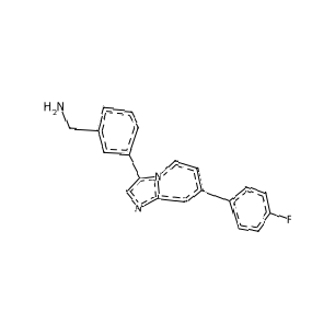 NCc1cccc(-c2cnc3cc(-c4ccc(F)cc4)ccn23)c1